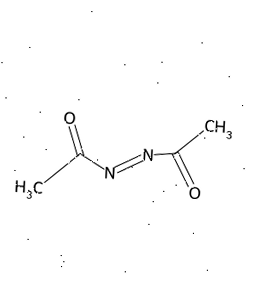 CC(=O)N=NC(C)=O